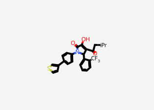 CC(C)CC(=O)C1=C(O)C(=O)N(c2ccc(-c3ccsc3)cc2)C1c1ccccc1C(F)(F)F